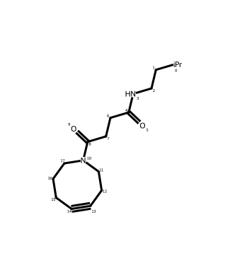 CC(C)CCNC(=O)CCC(=O)N1CCC#CCCC1